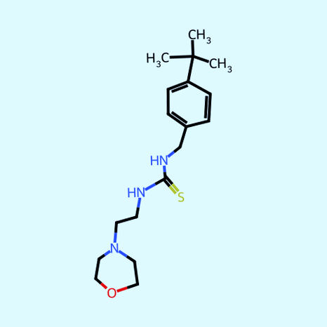 CC(C)(C)c1ccc(CNC(=S)NCCN2CCOCC2)cc1